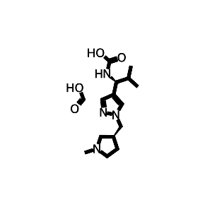 CC(C)[C@H](NC(=O)O)c1cnn(C[C@H]2CCN(C)C2)c1.O=CO